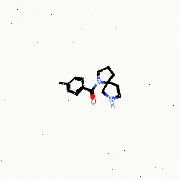 Cc1ccc(C(=O)N2CCCC23CCNC3)cc1